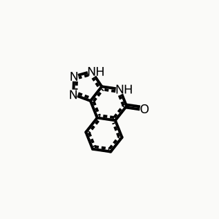 O=c1[nH]c2[nH]nnc2c2ccccc12